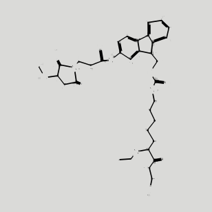 CCNC(CCCCCNC(=O)OCC1c2ccccc2-c2ccc(NC(=O)CCN3C(=O)CC(SC)C3=O)cc21)C(=O)CCO